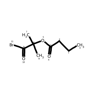 CCCC(=O)OC(C)(C)C(=O)Br